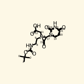 CC(C)(C)OC(=O)NCC[N+]1(CC(=O)O)C(=O)C1n1ccc(=O)[nH]c1=O